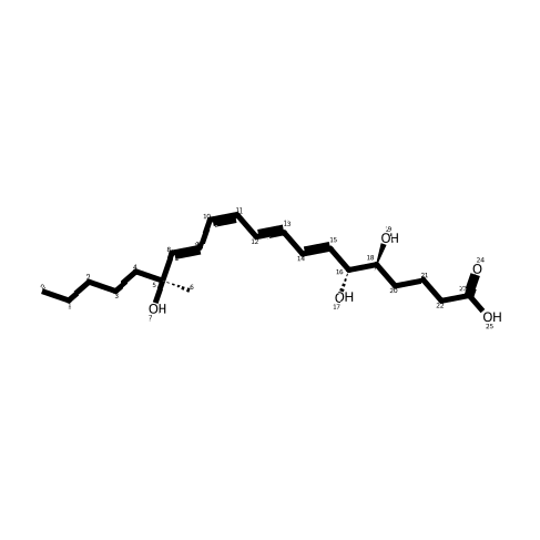 CCCCC[C@](C)(O)/C=C/C=C\C=C\C=C\[C@@H](O)[C@@H](O)CCCC(=O)O